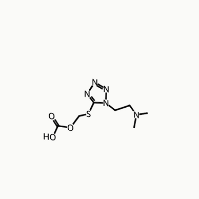 CN(C)CCn1nnnc1SCOC(=O)O